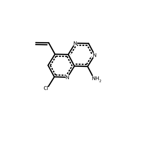 C=Cc1cc(Cl)nc2c(N)ncnc12